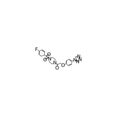 O=C(COc1ccc(-n2cnnn2)cc1)N1CCN(S(=O)(=O)C2C=CC(F)=CC2)CC1